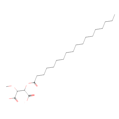 CCCCCCCCCCCCCCCCCC(=O)OC(C(=O)O)C(OC)C(=O)O